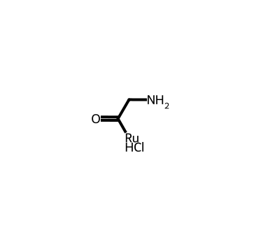 Cl.NC[C](=O)[Ru]